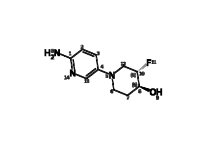 Nc1ccc(N2CC[C@H](O)[C@@H](F)C2)cn1